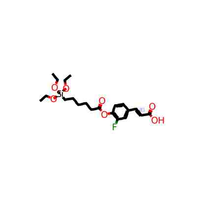 CCO[Si](CCCCCC(=O)Oc1ccc(/C=C/C(=O)O)cc1F)(OCC)OCC